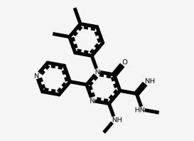 CNC(=N)c1c(NC)nc(-c2ccncc2)n(-c2ccc(C)c(C)c2)c1=O